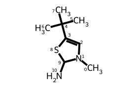 CN1C=C(C(C)(C)C)SC1N